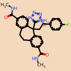 CNC(=O)c1ccc2c(c1)CCc1cc(C(=O)NC)ccc1C2(C[C@H](N)c1ccc(F)cc1)c1nnn[nH]1